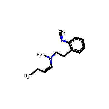 C=Nc1ccccc1CCN(C)/C=C\CC